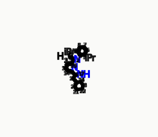 C/C(=N\c1c(C(C)C)cccc1C(C)C)c1cccc(C(=N)CC2CCCCC2)n1